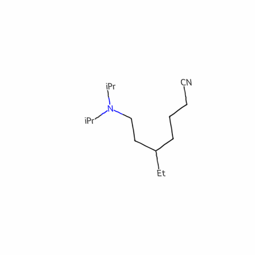 CCC(CCCC#N)CCN(C(C)C)C(C)C